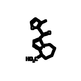 Cc1ccoc1C(=O)c1ccc2n1CCCCC2C(=O)O